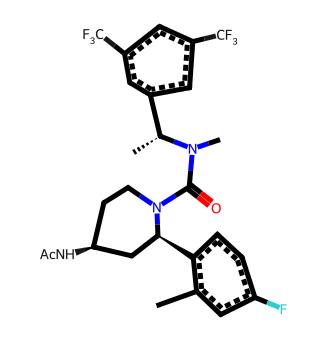 CC(=O)N[C@H]1CCN(C(=O)N(C)[C@H](C)c2cc(C(F)(F)F)cc(C(F)(F)F)c2)[C@@H](c2ccc(F)cc2C)C1